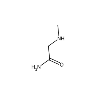 CNCC(N)=O